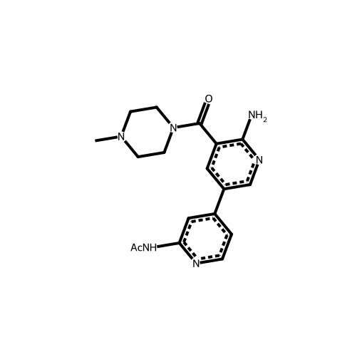 CC(=O)Nc1cc(-c2cnc(N)c(C(=O)N3CCN(C)CC3)c2)ccn1